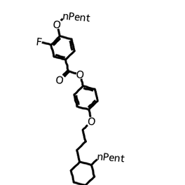 CCCCCOc1ccc(C(=O)Oc2ccc(OCCCC3CCCCC3CCCCC)cc2)cc1F